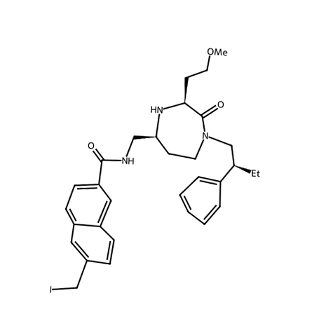 CC[C@H](CN1CC[C@@H](CNC(=O)c2ccc3cc(CI)ccc3c2)N[C@@H](CCOC)C1=O)c1ccccc1